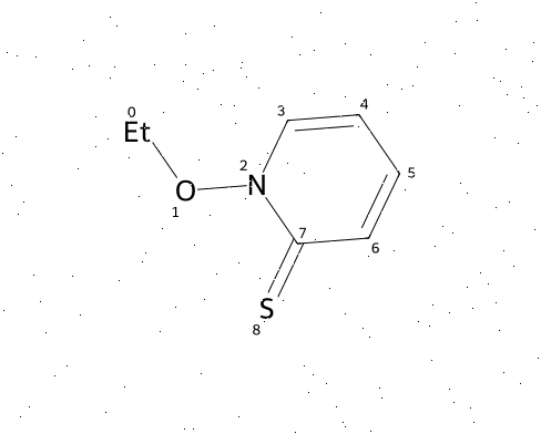 CCOn1ccccc1=S